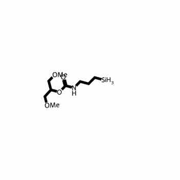 COCC(COC)OC(=O)NCCC[SiH3]